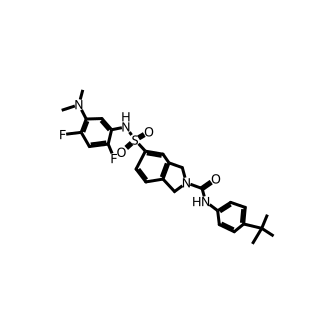 CN(C)c1cc(NS(=O)(=O)c2ccc3c(c2)CN(C(=O)Nc2ccc(C(C)(C)C)cc2)C3)c(F)cc1F